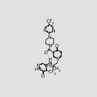 C[Si@@H](Cn1ccc(=O)c(C(=O)N2CCN(c3ncc(C(F)(F)F)cn3)CC2)c1)Nc1cn[nH]c(=O)c1C(F)(F)F